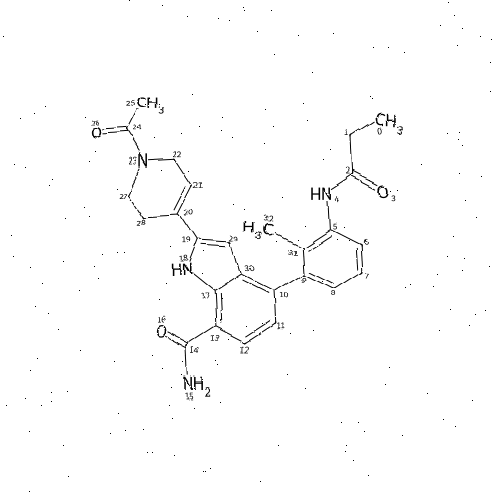 CCC(=O)Nc1cccc(-c2ccc(C(N)=O)c3[nH]c(C4=CCN(C(C)=O)CC4)cc23)c1C